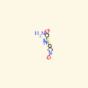 COCCN1CCc2ccc(-c3nnc(-c4ccc(OC(C)C)c(N)c4)s3)cc2CC1